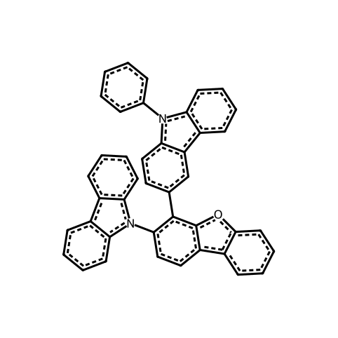 c1ccc(-n2c3ccccc3c3cc(-c4c(-n5c6ccccc6c6ccccc65)ccc5c4oc4ccccc45)ccc32)cc1